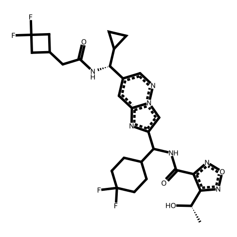 C[C@H](O)c1nonc1C(=O)NC(c1cn2ncc([C@H](NC(=O)CC3CC(F)(F)C3)C3CC3)cc2n1)C1CCC(F)(F)CC1